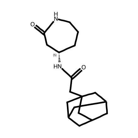 O=C1C[C@@H](NC(=O)CC23CC4CC(CC(C4)C2)C3)CCCN1